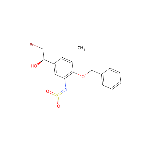 C.O=S(=O)=Nc1cc([C@@H](O)CBr)ccc1OCc1ccccc1